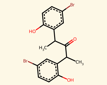 CC(C(=O)C(C)c1cc(Br)ccc1O)c1cc(Br)ccc1O